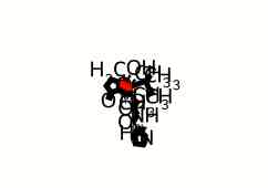 C#CC(C)[C@]1(C)C[C@@H](OC(=O)NC(=O)[C@H]2CN3CC[C@@H]2C3)[C@@]2(C)C3C(=O)CCC3(CC[C@H]2C)[C@@H](C)[C@@H]1O